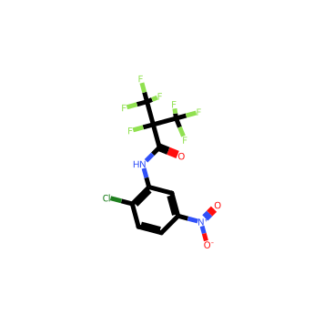 O=C(Nc1cc([N+](=O)[O-])ccc1Cl)C(F)(C(F)(F)F)C(F)(F)F